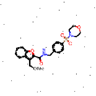 COCc1c(C(=O)NCc2ccc(S(=O)(=O)N3CCOCC3)cc2)oc2ccccc12